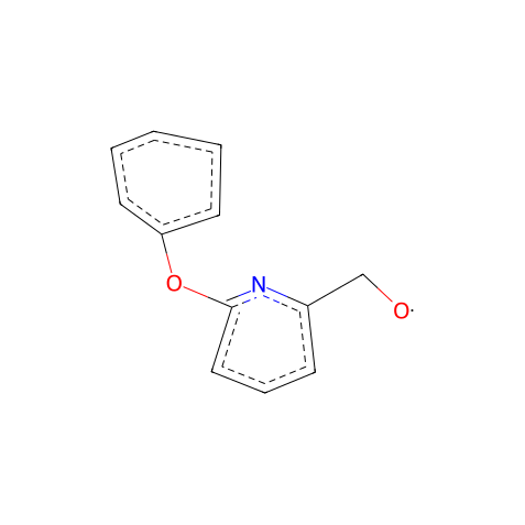 [O]Cc1cccc(Oc2ccccc2)n1